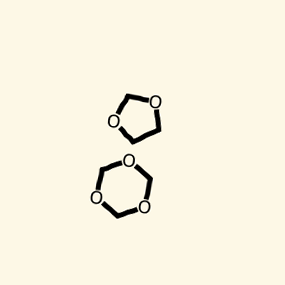 C1COCO1.C1OCOCO1